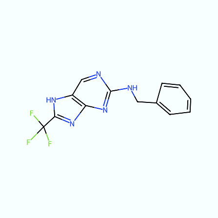 FC(F)(F)c1nc2nc(NCc3ccccc3)ncc2[nH]1